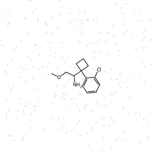 COCC(N)C1(c2ccccc2Cl)CCC1